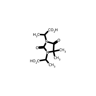 CC(C(=O)O)N1C(=O)N(C(C)C(=O)O)C(C)(C)C1=O